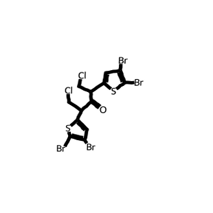 O=C(C(CCl)c1cc(Br)c(Br)s1)C(CCl)c1cc(Br)c(Br)s1